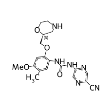 COc1cc(OC[C@@H]2CNCCO2)c(NC(=O)Nc2cnc(C#N)cn2)cc1C